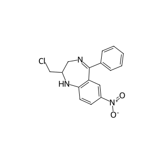 O=[N+]([O-])c1ccc2c(c1)C(c1ccccc1)=NCC(CCl)N2